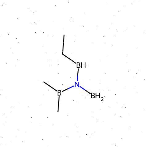 BN(BCC)B(C)C